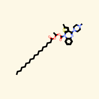 CCCCCCCCCCCCCCCCCC(=O)OC(C)OC(=O)N1c2ccccc2N=C(N2CCN(C)CC2)c2cc(C)sc21